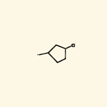 [CH2]C1CCC(Cl)C1